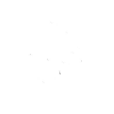 CC(C)C1C(=O)N([C@H](C(N)=O)C(Cc2ccccc2)C(=O)C2=NC(C)(C)CO2)C(c2ccccc2)=CN1C(=O)c1ccc[n+](CC(N)=O)c1.[Br-]